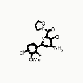 COc1c(Cl)ccc(-c2cc(N)c(Cl)c(C(=O)N3CCCO3)n2)c1F